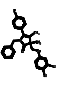 CC1=C(c2ccc(F)cc2)N(Cc2ccccc2)C(=O)C1(C)C[Se]c1ccc(Cl)c(Cl)c1